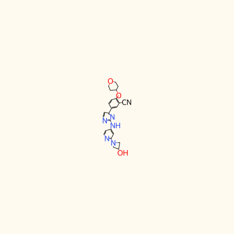 N#Cc1cc(-c2ccnc(Nc3ccnc(N4CC(O)C4)c3)n2)ccc1OC1CCOCC1